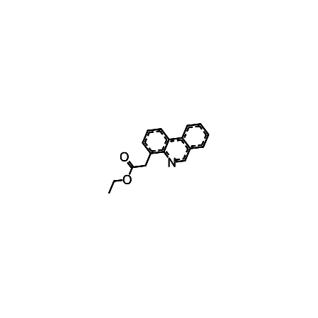 CCOC(=O)Cc1cccc2c1ncc1ccccc12